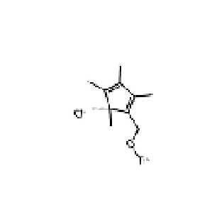 CC1=C(C)C(C)(C)C(C[O][Ti+])=C1C.[Cl-]